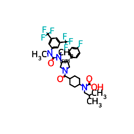 CC(C)CN(C(=O)O)C1CCC(C(=O)N2C[C@@H](N(C)C(=O)N(C)c3cc(C(F)(F)F)cc(C(F)(F)F)c3)[C@H](c3ccc(F)cc3)C2)CC1